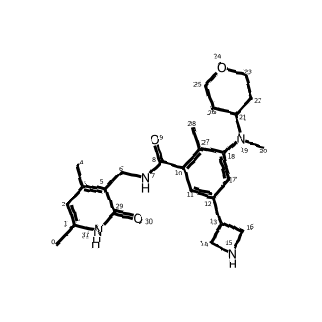 Cc1cc(C)c(CNC(=O)c2cc(C3CNC3)cc(N(C)C3CCOCC3)c2C)c(=O)[nH]1